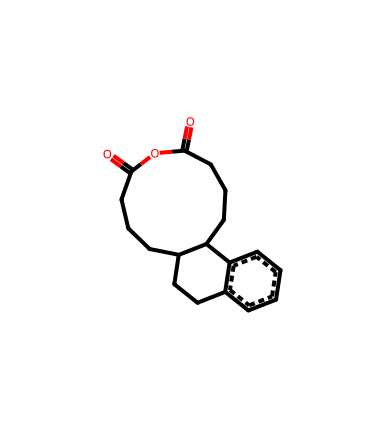 O=C1CCCC2CCc3ccccc3C2CCCC(=O)O1